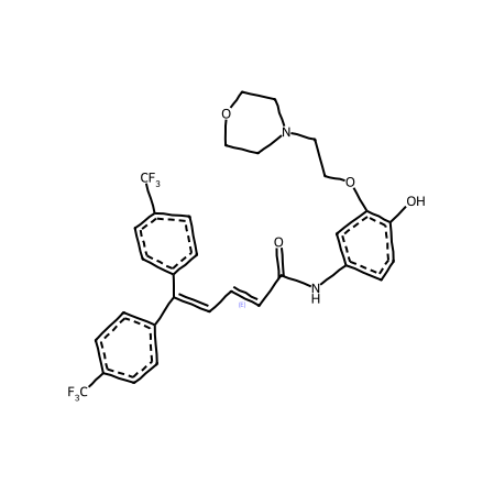 O=C(/C=C/C=C(c1ccc(C(F)(F)F)cc1)c1ccc(C(F)(F)F)cc1)Nc1ccc(O)c(OCCN2CCOCC2)c1